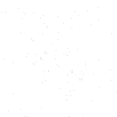 CCN(C(=O)C(CS)=NOC)c1cn(-c2cccnc2)nc1Cl